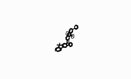 CC1(C)c2ccccc2-c2cc3c4ccccc4n(-c4ccc5oc6ccc(-c7ccccc7)cc6c(=O)c5c4)c3cc21